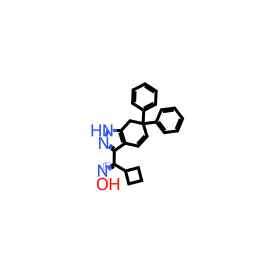 O/N=C(/c1n[nH]c2c1C=CC(c1ccccc1)(c1ccccc1)C2)C1CCC1